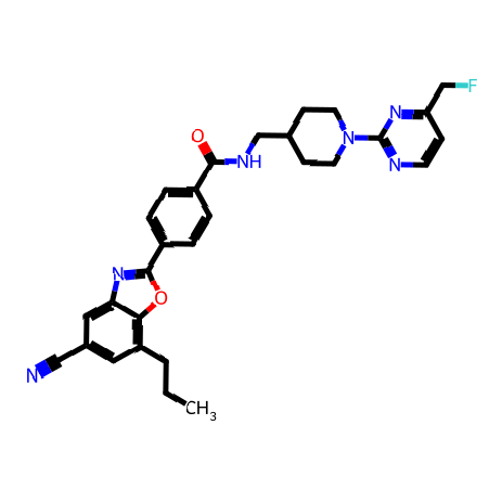 CCCc1cc(C#N)cc2nc(-c3ccc(C(=O)NCC4CCN(c5nccc(CF)n5)CC4)cc3)oc12